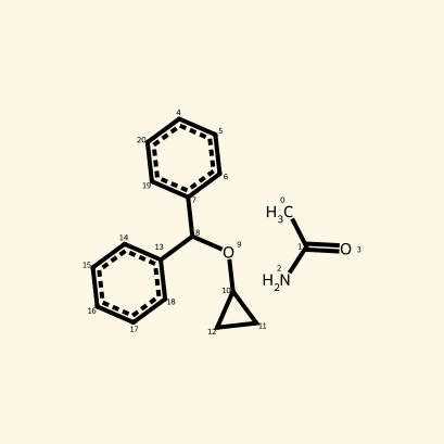 CC(N)=O.c1ccc(C(OC2CC2)c2ccccc2)cc1